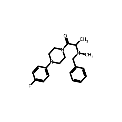 CC(C(=O)N1CCN(c2ccc(F)cc2)CC1)N(C)Cc1ccccc1